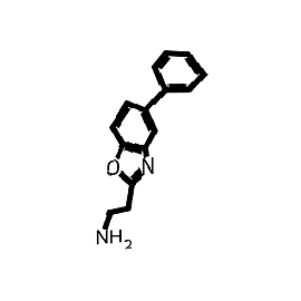 NCCc1nc2cc(-c3ccccc3)ccc2o1